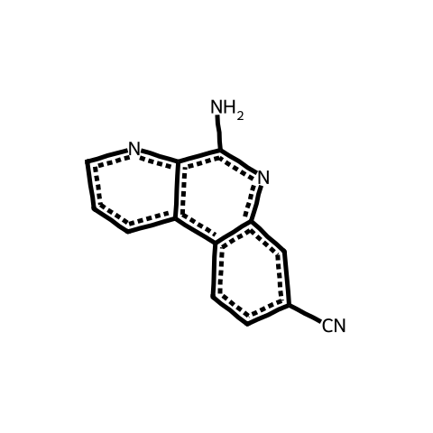 N#Cc1ccc2c(c1)nc(N)c1ncccc12